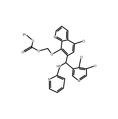 CC(C)OC(=O)OCOc1c(C(Nc2ccccn2)c2cncc(Cl)c2Cl)cc(Cl)c2cccnc12